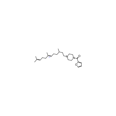 CC(C)=CCC/C(C)=C/CCC(C)CCN1CCN(C(=O)c2ccco2)CC1